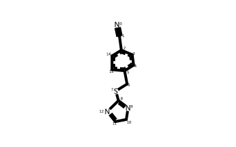 N#Cc1ccc(CSC2=NCC=N2)cc1